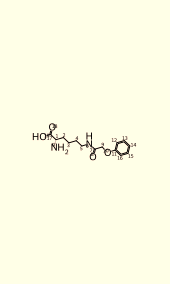 N[C@@H](CCCCNC(=O)COc1ccccc1)C(=O)O